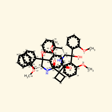 COc1ccccc1C(O)(c1ccccc1OC)[C@@H](Cc1ccccc1)NC(=O)C1(C(=O)N[C@H](Cc2ccccc2)C(O)(c2ccccc2OC)c2ccccc2OC)CCC1